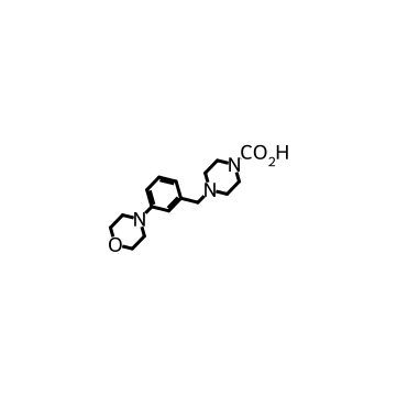 O=C(O)N1CCN(Cc2cccc(N3CCOCC3)c2)CC1